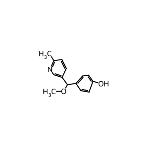 COC(c1ccc(O)cc1)c1ccc(C)nc1